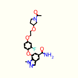 CC(=O)N1CCC(OCCOc2ccc(Oc3cc(C(N)=O)cc4cnn(C)c34)c(F)c2)C1